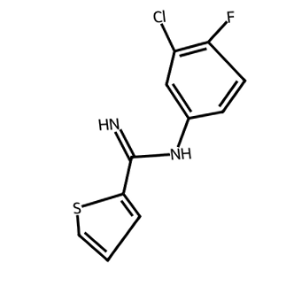 N=C(Nc1ccc(F)c(Cl)c1)c1cccs1